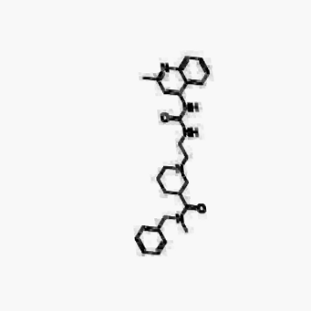 Cc1cc(NC(=O)NCCN2CCCC(C(=O)N(C)Cc3ccccc3)C2)c2ccccc2n1